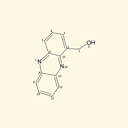 OCc1cccc2nc3ccccc3nc12